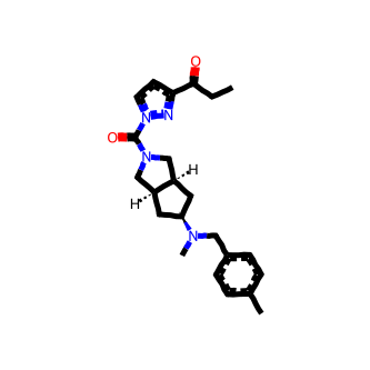 CCC(=O)c1ccn(C(=O)N2C[C@H]3C[C@@H](N(C)Cc4ccc(C)cc4)C[C@H]3C2)n1